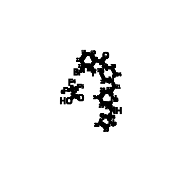 O=C(O)C(F)(F)F.O=C(c1cccc(Br)c1F)N1CCN(Cc2cccc(Nc3nccs3)n2)CC1